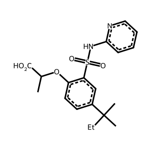 CCC(C)(C)c1ccc(OC(C)C(=O)O)c(S(=O)(=O)Nc2ccccn2)c1